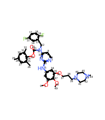 COc1cc(Nc2nccc(N(Cc3cc(F)ccc3F)C(=O)Oc3c(C)cc(C)cc3C)n2)cc(OCCCN2CCN(C)CC2)c1OC